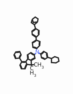 CC1(C)c2cc(N(c3ccc(-c4ccc(C5CC6CCC5C6)cc4)cc3)c3ccc(C4CCCCC4)cc3)ccc2-c2c(-c3ccccc3)cccc21